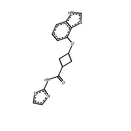 O=C(Nc1nccs1)C1CC(Oc2cccc3[nH]cnc23)C1